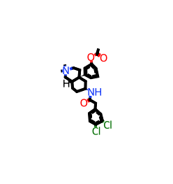 CC(=O)Oc1cccc([C@@]23CC[N+](C)(C)C[C@H]2CC[C@@H](NC(=O)Cc2ccc(Cl)c(Cl)c2)C3)c1